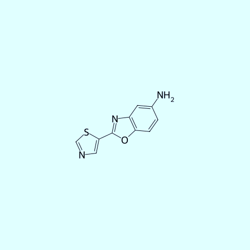 Nc1ccc2oc(-c3cncs3)nc2c1